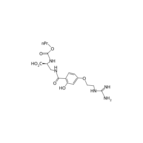 CCCOC(=O)N[C@@H](CNC(=O)c1ccc(OCCNC(=N)N)cc1O)C(=O)O